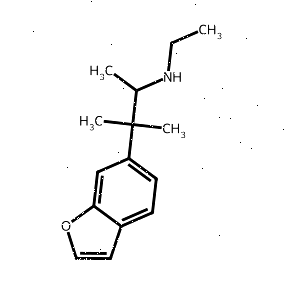 CCNC(C)C(C)(C)c1ccc2ccoc2c1